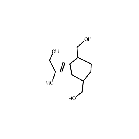 C=C.OCC1CCC(CO)CC1.OCCO